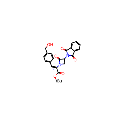 CC(C)(C)OC(=O)/C(=C/c1ccc(CO)cc1)N1CC(N2C(=O)c3ccccc3C2=O)C1=O